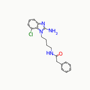 Nc1nc2cccc(Cl)c2n1CCCCNC(=O)Cc1ccccc1